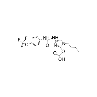 CCCCn1cc(NC(=O)Nc2ccc(OC(F)(F)F)cc2)nc1OC(=O)O